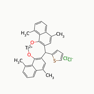 Cc1cc2c(c3c(C)cccc13)[O][Ti+2][O]c1c(cc(C)c3cccc(C)c13)C2c1cccs1.[Cl-].[Cl-]